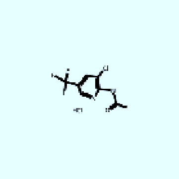 CC(=O)Nc1ncc(C(F)(F)F)cc1Cl.Cl